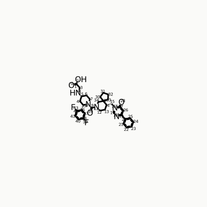 O=C(O)CN[C@@H]1CCN(C(=O)N2CC[C@@H](Cn3cnc(-c4ccccc4)cc3=O)C3(CCCC3)C2)[C@H](c2cc(F)ccc2F)C1